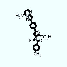 CC1CCC(C(=O)N(c2cc(-c3ccc(-c4cc5nccc(N)n5n4)cc3)sc2C(=O)O)C(C)C)CC1